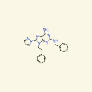 Nc1nc(NCc2ccccc2)nc2c1nc(-n1cccn1)n2CCc1ccccc1